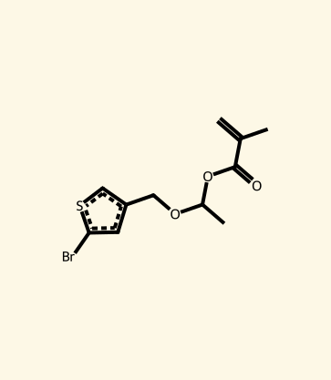 C=C(C)C(=O)OC(C)OCc1csc(Br)c1